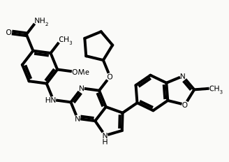 COc1c(Nc2nc(OC3CCCC3)c3c(-c4ccc5nc(C)oc5c4)c[nH]c3n2)ccc(C(N)=O)c1C